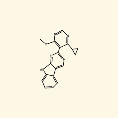 COc1ncnc(C2CC2)c1-c1ncc2c(n1)[nH]c1ccccc12